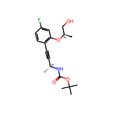 C[C@H](C#Cc1ccc(F)cc1O[C@H](C)CO)NC(=O)OC(C)(C)C